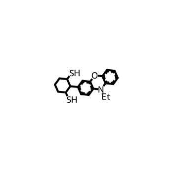 CCN1c2ccccc2Oc2cc(C3C(S)CCCC3S)ccc21